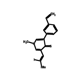 C=Cc1cccc(-c2cn(C)cc(/C=C(\I)CCCC)c2=S)c1